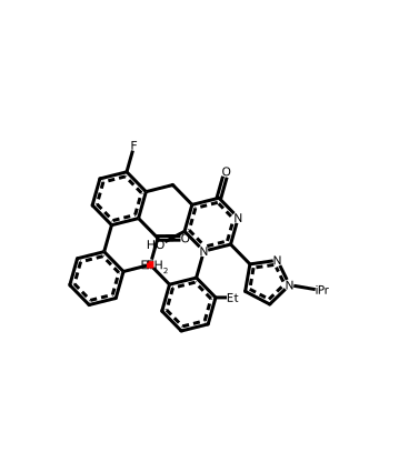 CCc1cccc(CC)c1-n1c(-c2ccn(C(C)C)n2)nc(=O)c(Cc2c(F)ccc(-c3ccccc3F)c2C(N)=O)c1O